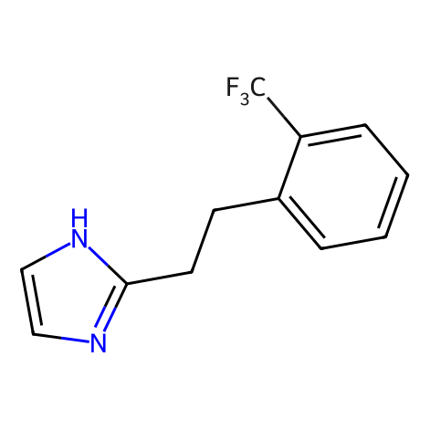 FC(F)(F)c1ccccc1CCc1ncc[nH]1